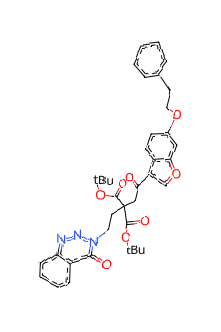 CC(C)(C)OC(=O)C(CCn1nnc2ccccc2c1=O)(CC(=O)c1coc2cc(OCCc3ccccc3)ccc12)C(=O)OC(C)(C)C